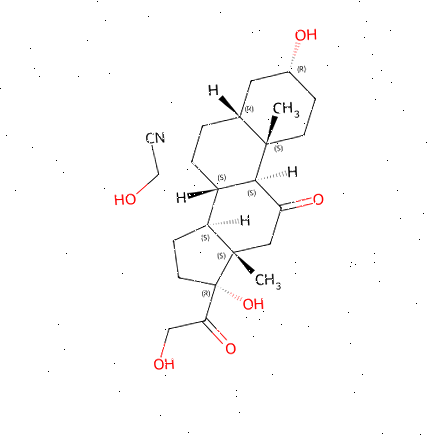 C[C@]12CC[C@@H](O)C[C@H]1CC[C@@H]1[C@@H]2C(=O)C[C@@]2(C)[C@H]1CC[C@]2(O)C(=O)CO.N#CCO